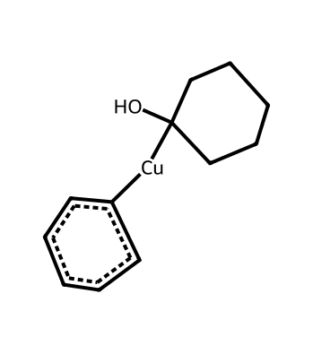 O[C]1([Cu][c]2ccccc2)CCCCC1